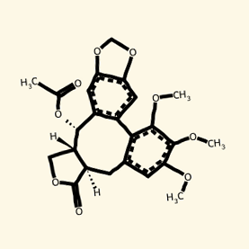 COc1cc2c(c(OC)c1OC)-c1cc3c(cc1[C@@H](OC(C)=O)[C@H]1COC(=O)[C@@H]1C2)OCO3